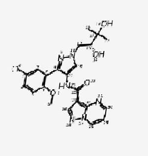 COc1ccc(Cl)cc1-c1nn(C[C@@H](O)C(C)(C)O)cc1NC(=O)c1cnn2cccnc12